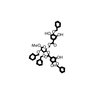 CO[C@H]1O[C@H](COC(=O)c2cc(O)c(OCc3ccccc3)c(O)c2)[C@@H](OC(=O)c2cc(O)c(OCc3ccccc3)c(O)c2)[C@H](OCc2ccccc2)[C@H]1OCc1ccccc1